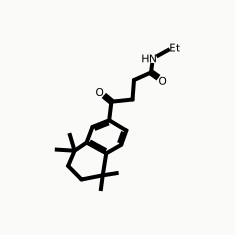 CCNC(=O)CCC(=O)c1ccc2c(c1)C(C)(C)CCC2(C)C